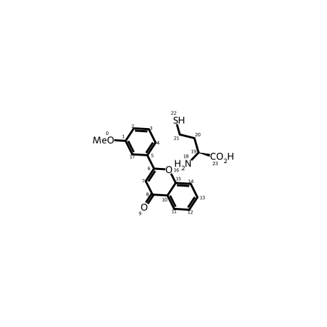 COc1cccc(-c2cc(=O)c3ccccc3o2)c1.N[C@@H](CCS)C(=O)O